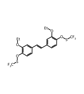 CCOc1cc(C=Cc2ccc(OSC(F)(F)F)c(OCC)c2)ccc1OSC(F)(F)F